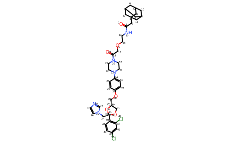 O=C(CC12CC3CC(CC(C3)C1)C2)NCCOCC(=O)N1CCN(c2ccc(OC[C@H]3CO[C@](Cn4ccnc4)(c4ccc(Cl)cc4Cl)O3)cc2)CC1